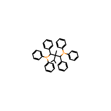 CC(C)C(C)(C(c1ccccc1)P(c1ccccc1)c1ccccc1)C(c1ccccc1)P(c1ccccc1)c1ccccc1